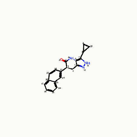 NC(=O)[C@@H](Cc1cc(C2CC2)[nH]n1)c1ccc2ccccc2c1